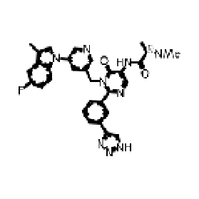 CN[C@@H](C)C(=O)Nc1cnc(-c2cccc(-c3c[nH]nn3)c2)n(Cc2cncc(-n3cc(C)c4cc(F)ccc43)c2)c1=O